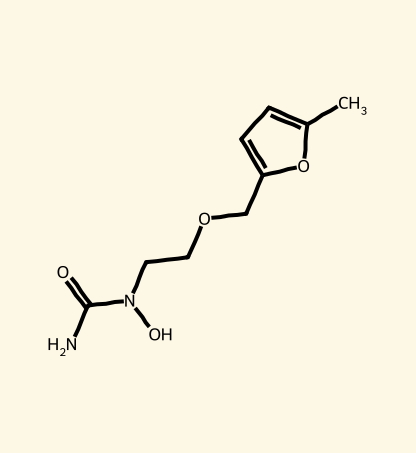 Cc1ccc(COCCN(O)C(N)=O)o1